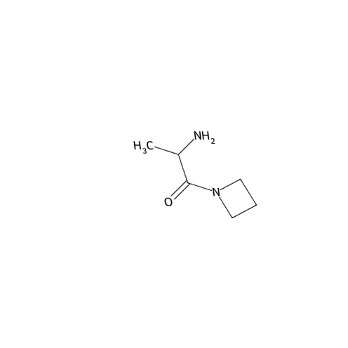 CC(N)C(=O)N1CCC1